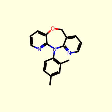 Cc1ccc(N2c3ncccc3COc3cccnc32)c(C)c1